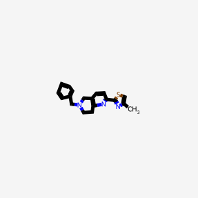 Cc1csc(-c2ccc3c(n2)CCN(Cc2ccccc2)C3)n1